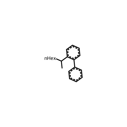 CCCCCCC(C)c1ccccc1-c1ccccc1